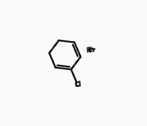 ClC1=CCCC=C1.[Rh]